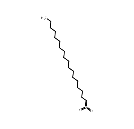 CCCCCCCCCCCCCCCCCC=S(=O)=O